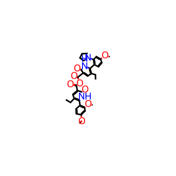 CCc1cc(C(=O)OC(=O)c2cc(CC)c(-c3ccc(OC)cc3N3CCCC3)[nH]c2=O)c(=O)[nH]c1-c1ccc(OC)cc1OC